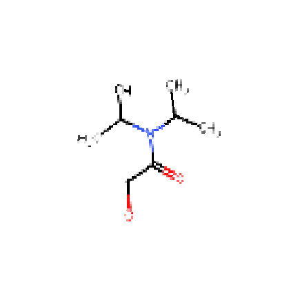 CC(C)N(C(=O)C[O])C(C)C